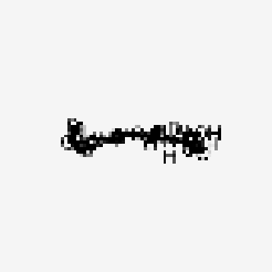 CCCC[C@@H](C)N(CCNCCc1ccc(O)c2c1OCC(=O)N2)C(=O)CCOCCc1ccc(CCN2CCC3(CC2)CN(C(=O)c2csc(C)n2)CCO3)cc1